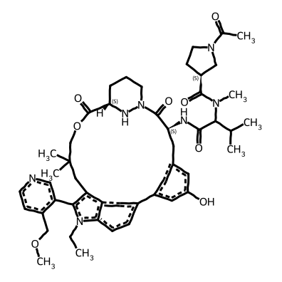 CCn1c(-c2cnccc2COC)c2c3cc(ccc31)-c1cc(O)cc(c1)C[C@H](NC(=O)C(C(C)C)N(C)C(=O)[C@H]1CCN(C(C)=O)C1)C(=O)N1CCC[C@H](N1)C(=O)OCC(C)(C)C2